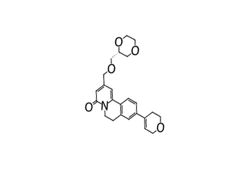 O=c1cc(COC[C@H]2COCCO2)cc2n1CCc1cc(C3=CCOCC3)ccc1-2